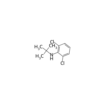 CC(C)(C)Nc1c(Cl)cccc1Cl